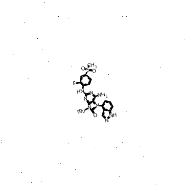 CC(C)(C)n1c(=O)n(-c2cccc3[nH]ncc23)c2c(N)nc(Nc3ccc(S(C)(=O)=O)cc3F)nc21